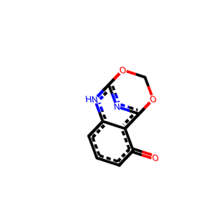 O=c1cccc2[nH]c3nc(c1-2)OCO3